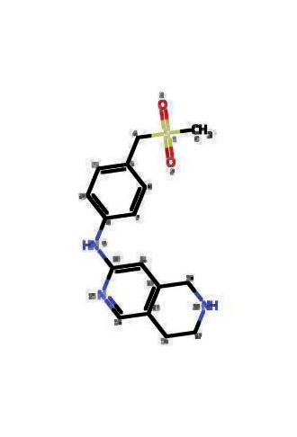 CS(=O)(=O)Cc1ccc(Nc2cc3c(cn2)CCNC3)cc1